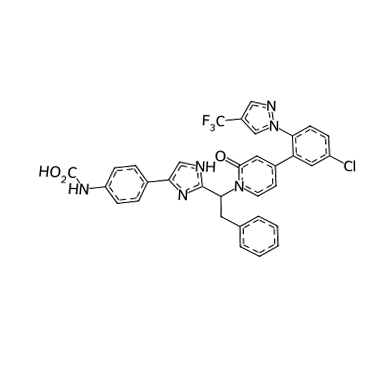 O=C(O)Nc1ccc(-c2c[nH]c(C(Cc3ccccc3)n3ccc(-c4cc(Cl)ccc4-n4cc(C(F)(F)F)cn4)cc3=O)n2)cc1